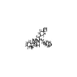 O=C(/N=C1/CC(c2ccc(Cl)cc2)=C(CCN2CCOCC2)N1)c1ccccc1F